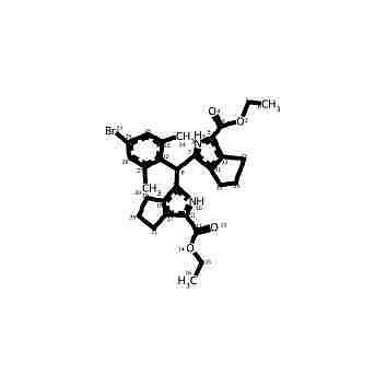 CCOC(=O)c1[nH]c(C(c2[nH]c(C(=O)OCC)c3c2CCC3)c2c(C)cc(Br)cc2C)c2c1CCC2